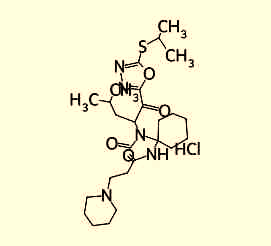 CC(C)CC(C(=O)c1nnc(SC(C)C)o1)N(C=O)C1(NC(=O)CCN2CCCCC2)CCCCC1.Cl